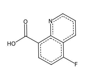 O=C(O)c1ccc(F)c2cccnc12